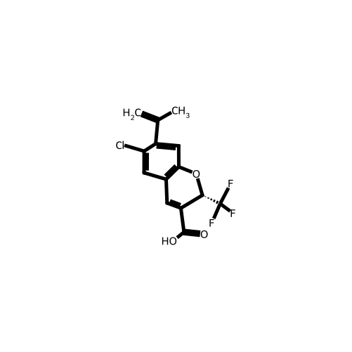 C=C(C)c1cc2c(cc1Cl)C=C(C(=O)O)[C@@H](C(F)(F)F)O2